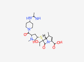 CC(=N)NC1CCN(C(=O)C2CC(SC3(C(C)O)C(=O)N4C(C(=O)O)=CC(C)[C@H]43)CN2C)CC1